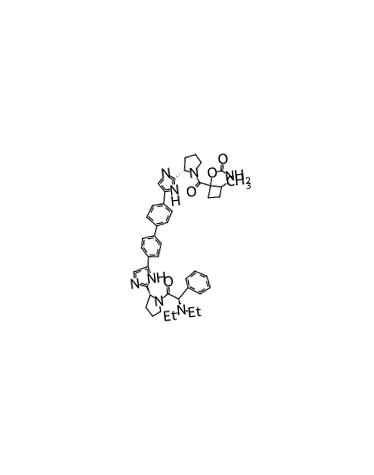 CCN(CC)[C@@H](C(=O)N1CCC[C@H]1c1ncc(-c2ccc(-c3ccc(-c4cnc([C@@H]5CCCN5C(=O)C5(OC(N)=O)CCC5C)[nH]4)cc3)cc2)[nH]1)c1ccccc1